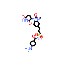 Cn1c(=O)n(C2CCC(=O)NC2=O)c2ccc(CCCS(=O)(=O)NC(=O)C3CCC(N)CC3)cc21